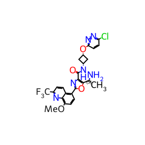 COc1ccc(-c2nc(C(=O)N[C@H]3C[C@@H](Oc4ccc(Cl)nn4)C3)c([C@H](C)N)o2)c2ccc(C(F)(F)F)nc12